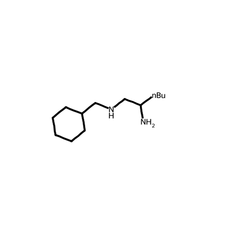 CCCCC(N)CNCC1CCCCC1